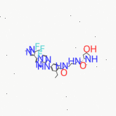 CCc1cc(Nc2nccn3c(-c4cn(C)nc4C(F)(F)F)cnc23)ccc1C(=O)NCCCNC(=O)[C@@H]1C[C@@H](O)CN1